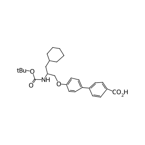 CC(C)(C)OC(=O)NC(COc1ccc(-c2ccc(C(=O)O)cc2)cc1)CC1CCCCC1